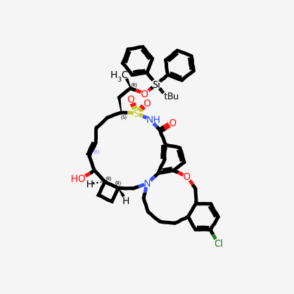 C[C@H](C[C@@H]1CC/C=C/C(O)[C@@H]2CC[C@H]2CN2CCCCC3C=C(Cl)C=CC3COc3ccc(cc32)C(=O)NS1(=O)=O)O[Si](c1ccccc1)(c1ccccc1)C(C)(C)C